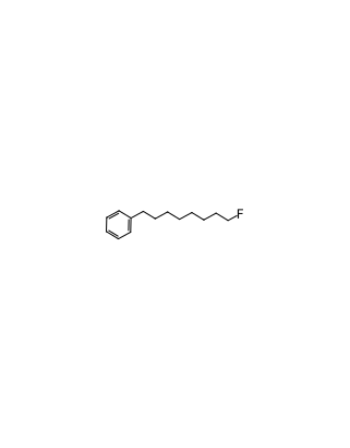 FCCCCCCCCc1ccccc1